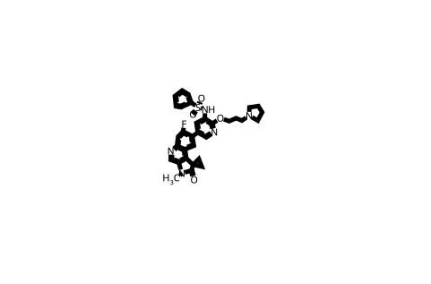 CN1C(=O)C2(CC2)c2c1cnc1cc(F)c(-c3cnc(OCCCN4CCCC4)c(NS(=O)(=O)c4ccccc4)c3)cc21